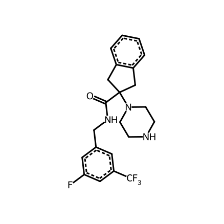 O=C(NCc1cc(F)cc(C(F)(F)F)c1)C1(N2CCNCC2)Cc2ccccc2C1